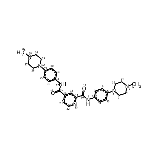 CN1CCN(c2ccc(NC(=O)c3cc(C(=O)Nc4ccc(N5CCN(C)CC5)cc4)ncn3)cc2)CC1